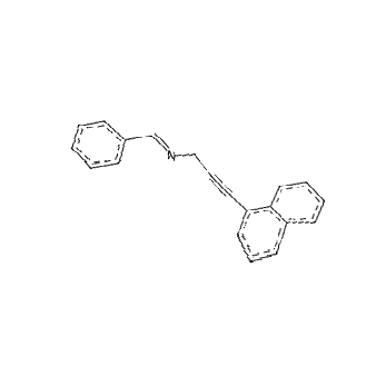 C(#Cc1cccc2ccccc12)CN=Cc1ccccc1